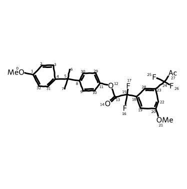 COc1ccc(C(C)(C)c2ccc(OC(=O)C(F)(F)c3cc(OC)cc(C(F)(F)C(C)=O)c3)cc2)cc1